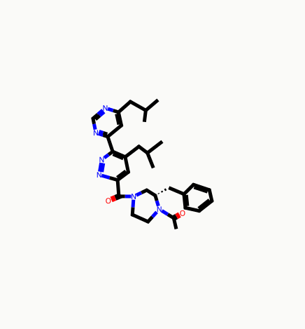 CC(=O)N1CCN(C(=O)c2cc(CC(C)C)c(-c3cc(CC(C)C)ncn3)nn2)C[C@@H]1Cc1ccccc1